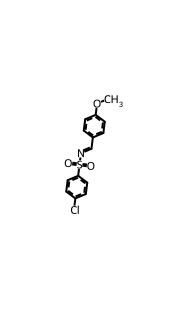 COc1ccc(/C=N/S(=O)(=O)c2ccc(Cl)cc2)cc1